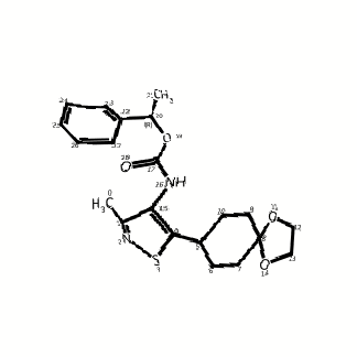 Cc1nsc(C2CCC3(CC2)OCCO3)c1NC(=O)O[C@H](C)c1ccccc1